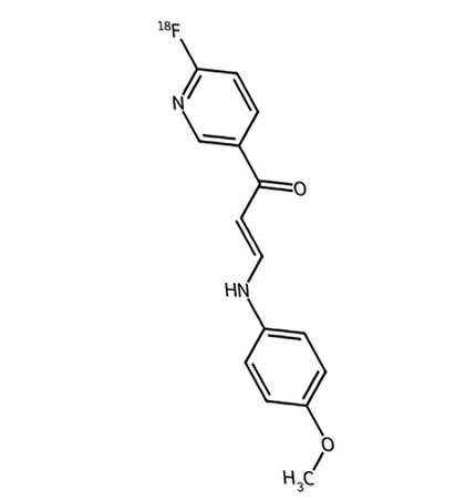 COc1ccc(NC=CC(=O)c2ccc([18F])nc2)cc1